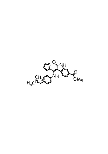 COC(=O)c1ccc2c(c1)NC(=O)C2=C(Nc1ccc(CN(C)C)cc1)c1cccs1